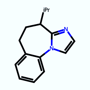 CC(C)C1CCc2ccccc2-n2ccnc21